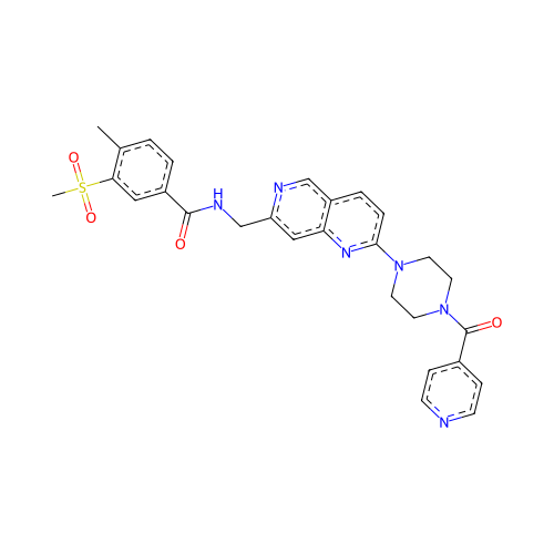 Cc1ccc(C(=O)NCc2cc3nc(N4CCN(C(=O)c5ccncc5)CC4)ccc3cn2)cc1S(C)(=O)=O